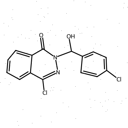 O=c1c2ccccc2c(Cl)nn1C(O)c1ccc(Cl)cc1